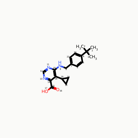 CC(C)(C)c1ccc(CNc2ncnc(C(=O)O)c2C2CC2)cc1